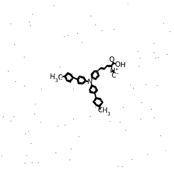 [C-]#[N+]/C(=C\C=C\c1ccc(N(c2ccc(-c3ccc(C)cc3)cc2)c2ccc(-c3ccc(C)cc3)cc2)cc1)C(=O)O